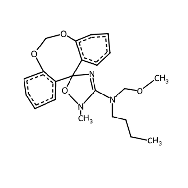 CCCCN(COC)C1=NC2(ON1C)c1ccccc1OCOc1ccccc12